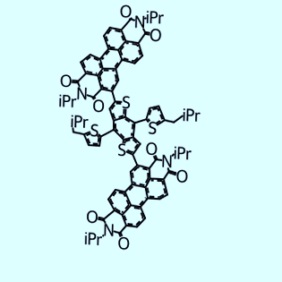 CC(C)Cc1ccc(-c2c3cc(-c4cc5c6ccc7c8c(ccc(c9ccc%10c(c4C(=O)N(C(C)C)C%10=O)c95)c86)C(=O)N(C(C)C)C7=O)sc3c(-c3ccc(CC(C)C)s3)c3cc(-c4cc5c6ccc7c8c(ccc(c9ccc%10c(c4C(=O)N(C(C)C)C%10=O)c95)c86)C(=O)N(C(C)C)C7=O)sc23)s1